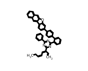 C=C/C(=C\C=C/CC)c1nc(-c2ccccc2)nc(-c2ccccc2-c2ccc(-c3ccc4c(c3)oc3cc5ccccc5cc34)cc2)n1